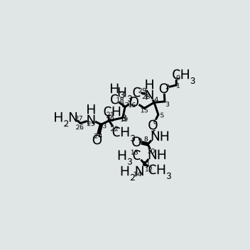 CCOCC(CONC(=O)NC(C)(C)N)(COC(C)CC(C)(C)C(=O)NCN)NC